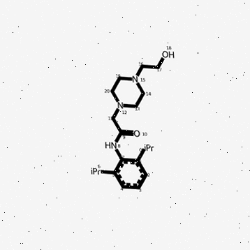 CC(C)c1cccc(C(C)C)c1NC(=O)CN1CCN(CCO)CC1